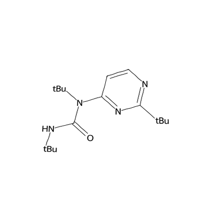 CC(C)(C)NC(=O)N(c1ccnc(C(C)(C)C)n1)C(C)(C)C